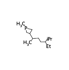 CCC(CCC(C)C1CP(C)C1)C(C)C